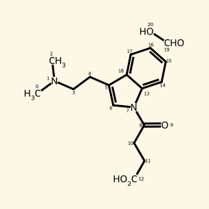 CN(C)CCc1cn(C(=O)CCC(=O)O)c2ccccc12.O=CO